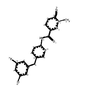 Cn1nc(C(=O)Nc2ccc(Cc3cc(F)cc(Cl)c3)cn2)ccc1=O